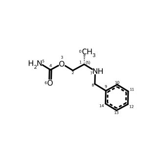 C[C@@H](COC(N)=O)NCc1ccccc1